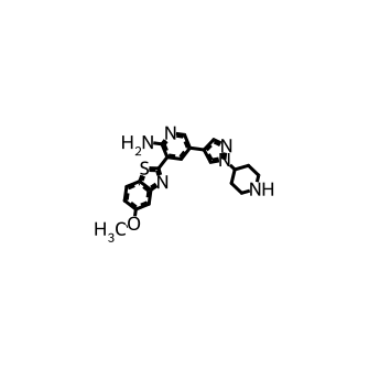 COc1ccc2sc(-c3cc(-c4cnn(C5CCNCC5)c4)cnc3N)nc2c1